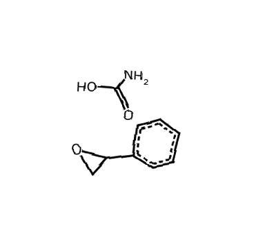 NC(=O)O.c1ccc(C2CO2)cc1